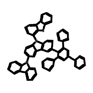 c1ccc(-c2cc(-c3ccccc3)c(-c3ccc4c(c3)c3cc(-n5c6ccccc6c6ccccc65)ccc3n4-c3cccc4c3sc3ccccc34)c(-c3ccccc3)c2)cc1